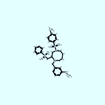 COc1cccc(CN2CCCCN(S(=O)(=O)c3ccc(C)cc3)CC2CS(=O)(=O)c2ccccc2)c1